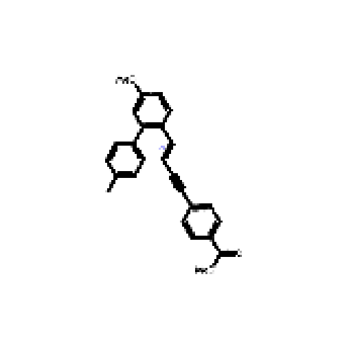 COC(=O)c1ccc(C#C/C=C/c2ccc(OC)cc2-c2ccc(C)cc2)cc1